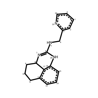 c1ccc(CNC2=NC3CCCc4cccc(c43)N2)nc1